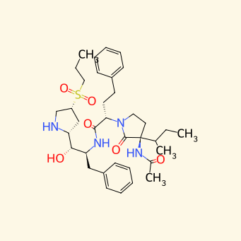 CCCS(=O)(=O)[C@H]1CN[C@@H]([C@@H](O)[C@H](Cc2ccccc2)NC(=O)[C@H](CCc2ccccc2)N2CC[C@](NC(C)=O)(C(C)CC)C2=O)C1